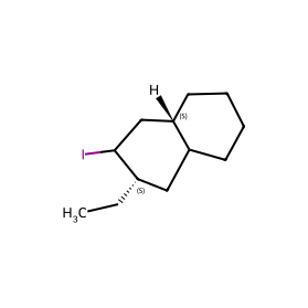 CC[C@H]1CC2CCCC[C@H]2CC1I